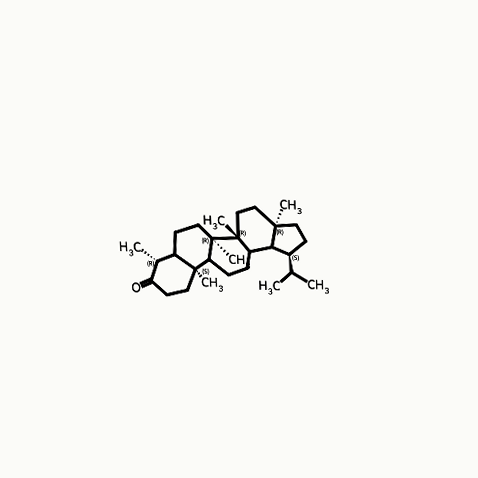 CC(C)[C@@H]1CC[C@]2(C)CC[C@]3(C)C(CCC4[C@@]5(C)CCC(=O)[C@H](C)C5CC[C@]43C)C12